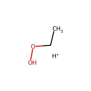 CCOO.[H+]